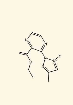 C=C(OCC)c1nccnc1-n1nc(C)c[n+]1[O-]